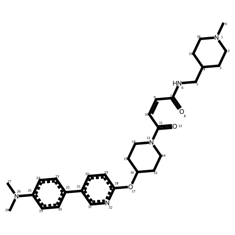 CN1CCC(CNC(=O)/C=C\C(=O)N2CCC(Oc3ccc(-c4ccc(N(C)C)cc4)cn3)CC2)CC1